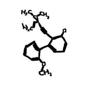 COc1ccccc1-c1cccc(Cl)c1C#C[Si](C)(C)C